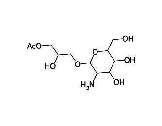 CC(=O)OCC(O)COC1OC(CO)C(O)C(O)C1N